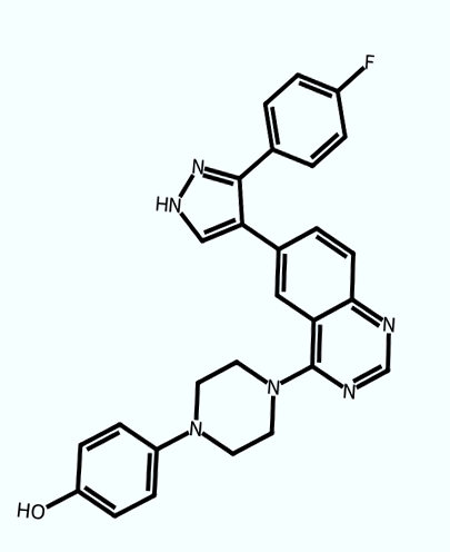 Oc1ccc(N2CCN(c3ncnc4ccc(-c5c[nH]nc5-c5ccc(F)cc5)cc34)CC2)cc1